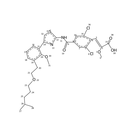 COC(=Cc1c(Cl)cc(C(=O)Nc2nc(-c3cccc(CCOCCCC(C)C)c3OC)cs2)cc1Cl)C(=O)O